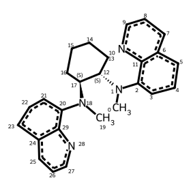 CN(c1cccc2cccnc12)[C@H]1CCCC[C@@H]1N(C)c1cccc2cccnc12